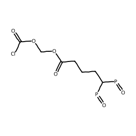 O=PC(CCCC(=O)OCOC(=O)Cl)P=O